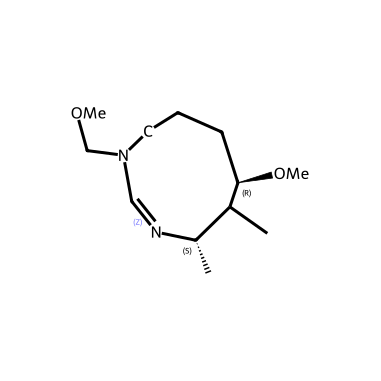 COCN1/C=N\[C@@H](C)C(C)[C@H](OC)CCC1